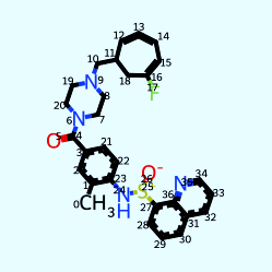 Cc1cc(C(=O)N2CCN(CC3C=C=CC=C(F)C3)CC2)ccc1N[S+]([O-])c1cccc2cccnc12